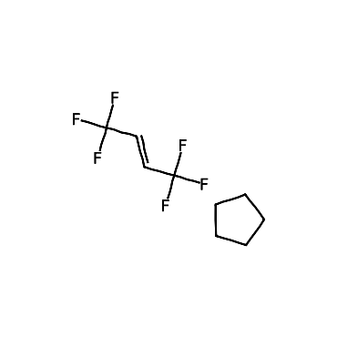 C1CCCC1.FC(F)(F)/C=C/C(F)(F)F